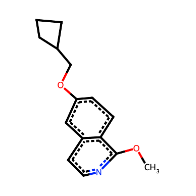 COc1nccc2cc(OCC3CCC3)ccc12